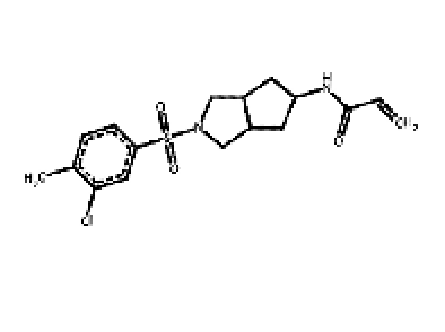 C=CC(=O)NC1CC2CN(S(=O)(=O)c3ccc(C)c(Cl)c3)CC2C1